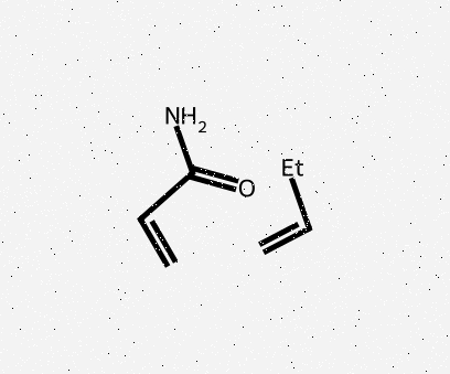 C=CC(N)=O.C=CCC